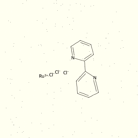 [Cl-].[Cl-].[Cl-].[Ru+3].c1ccc(-c2ccccn2)nc1